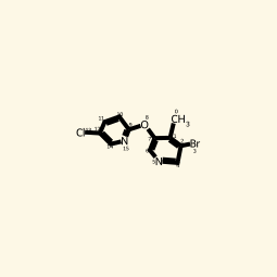 Cc1c(Br)cncc1Oc1ccc(Cl)cn1